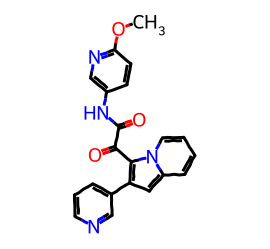 COc1ccc(NC(=O)C(=O)c2c(-c3cccnc3)cc3ccccn23)cn1